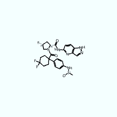 C[S+]([O-])Nc1ccc(C2(C(=O)N3C[C@H](F)C[C@@H]3C(=O)Nc3ccc4[nH]ncc4n3)CCC(F)(F)CC2)cc1